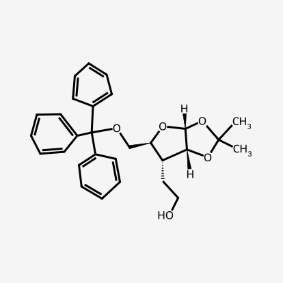 CC1(C)O[C@H]2O[C@H](COC(c3ccccc3)(c3ccccc3)c3ccccc3)[C@@H](CCO)[C@H]2O1